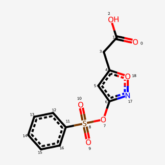 O=C(O)Cc1cc(OS(=O)(=O)c2ccccc2)no1